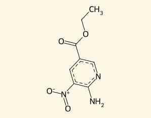 CCOC(=O)c1cnc(N)c([N+](=O)[O-])c1